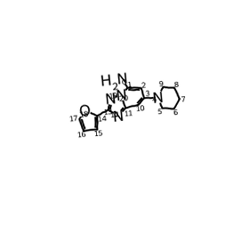 Nc1cc(N2CCCCC2)cc2nc(-c3ccco3)nn12